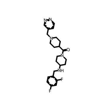 O=C(C1CCN(Cc2ccnnc2)CC1)N1CCC(NCc2ccc(F)cc2F)CC1